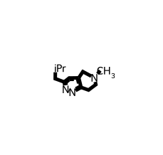 CC(C)Cc1cc2c(nn1)CCN(C)C2